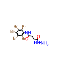 NNC(=O)CCC(=O)Nc1c(Br)c(Br)c(Br)c(Br)c1Br